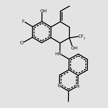 CC=C1CC(O)(C(F)(F)F)C(Nc2cccc3nc(C)ncc23)c2cc(Cl)c(F)c(O)c21